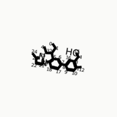 CCC(CC)c1cc(-c2ccc(C)c(CO)c2)ccc1-n1ccc(C)n1